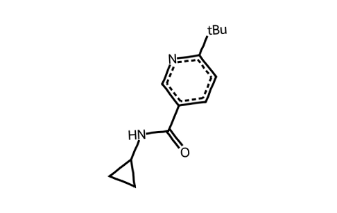 CC(C)(C)c1ccc(C(=O)NC2CC2)cn1